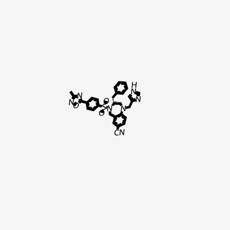 Cc1noc(-c2ccc(S(=O)(=O)N3Cc4cc(C#N)ccc4N(Cc4c[nH]cn4)C[C@H]3Cc3ccccc3)cc2)n1